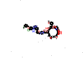 CO[C@@H]1CCC[C@@H](OC)C[C@@H](C)C(O)(O)C(=O)C(=O)N2CCCC[C@H]2C(=O)O[C@H](/C(C)=C/[C@@H]2CCC[C@H](OC)C2)[C@H](C)[C@@H](O)CC(=O)[C@H](CCCC(=O)N2CCN(Cc3ccc(-c4ccc5ncnc(Nc6ccc(OCc7cccc(F)c7)c(Cl)c6)c5c4)o3)CC2)/C=C(\C)C1